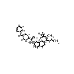 C=C/C=C(/c1ccc2cnc(NC(=O)C3CCN(Cc4ccccn4)CC3)cc2c1)N(C)C(=C)C